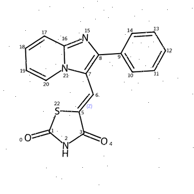 O=C1NC(=O)/C(=C/c2c(-c3ccccc3)nc3ccccn23)S1